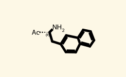 CC(=O)[C@H](N)Cc1ccc2ccccc2c1